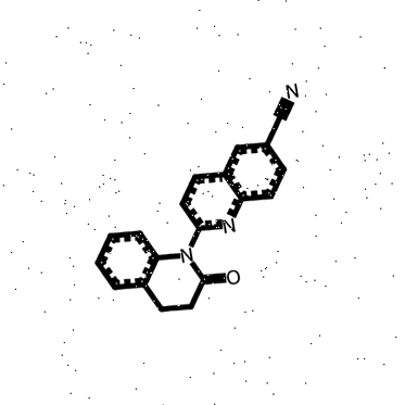 N#Cc1ccc2nc(N3C(=O)CCc4ccccc43)ccc2c1